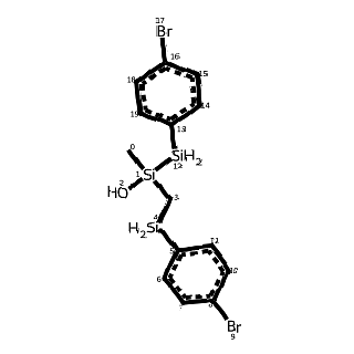 C[Si](O)(C[SiH2]c1ccc(Br)cc1)[SiH2]c1ccc(Br)cc1